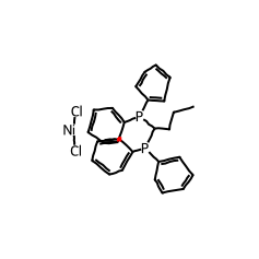 CCCC(P(c1ccccc1)c1ccccc1)P(c1ccccc1)c1ccccc1.[Cl][Ni][Cl]